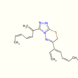 C=C/C(=C\C=C/C)C1=Nn2c(nnc2C(=C)/C=C\C=C/C)SC1